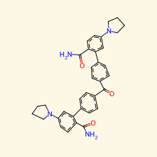 NC(=O)c1ccc(N2CCCC2)cc1-c1ccc(C(=O)c2ccc(-c3cc(N4CCCC4)ccc3C(N)=O)cc2)cc1